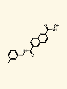 O=C(NO)c1ccc2cc(C(=O)NCc3cccc(I)c3)ccc2c1